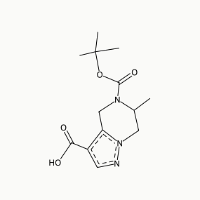 CC1Cn2ncc(C(=O)O)c2CN1C(=O)OC(C)(C)C